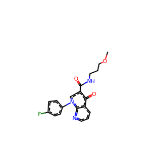 COCCCNC(=O)c1cn(-c2ccc(F)cc2)c2ncccc2c1=O